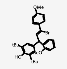 COc1ccc(C(Br)=CC(c2cc(C(C)(C)C)c(O)c(C(C)(C)C)c2)c2ccccc2OC)cc1